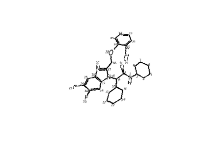 O=C(NC1CCCCC1)C(C1CCCCC1)n1c(COc2ccccc2Cl)nc2cc(F)c(F)cc21